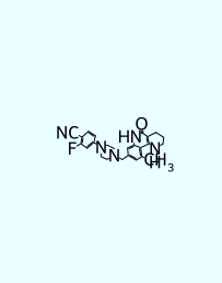 Cc1cc(CN2CCN(c3ccc(C#N)c(F)c3)CC2)cc2[nH]c(=O)c3c(c12)NCCC3